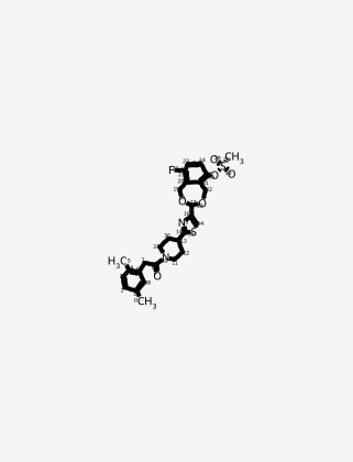 Cc1ccc(C)c(CC(=O)N2CCC(c3nc(C4OCc5c(F)ccc(OS(C)(=O)=O)c5CO4)cs3)CC2)c1